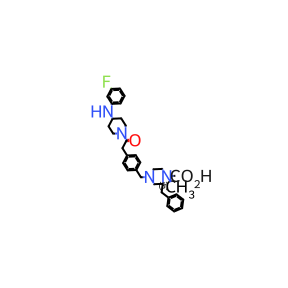 C[C@]1(Cc2ccccc2)CN(Cc2ccc(CC(=O)N3CCC(Nc4cccc(F)c4)CC3)cc2)CCN1C(=O)O